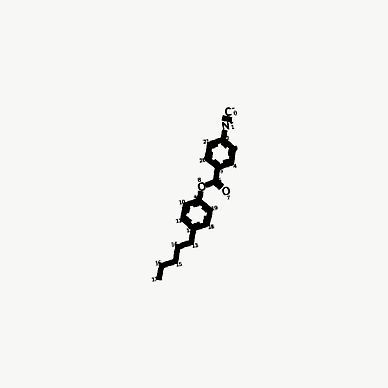 [C-]#[N+]c1ccc(C(=O)Oc2ccc(CCCCC)cc2)cc1